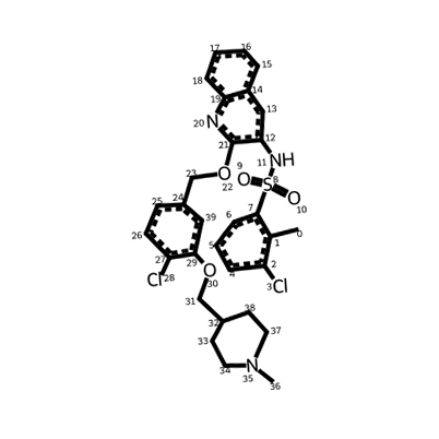 Cc1c(Cl)cccc1S(=O)(=O)Nc1cc2ccccc2nc1OCc1ccc(Cl)c(OCC2CCN(C)CC2)c1